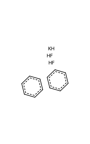 F.F.[KH].c1ccccc1.c1ccccc1